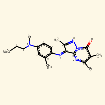 CCN(CCOC)c1ccc(N=C2C(C)=Nn3c2nc(C(C)C)c(C)c3=O)c(C)c1